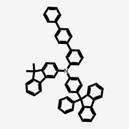 CC1(C)c2ccccc2-c2cc(N(c3ccc(C4(c5ccccc5)c5ccccc5-c5ccccc54)cc3)c3cccc(-c4ccc(-c5ccccc5)cc4)c3)ccc21